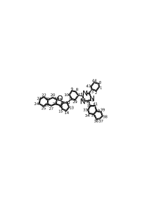 c1ccc(-c2nc(-c3cccc(-c4cccc5c4oc4cc6ccccc6cc45)c3)nc(-c3ccc4ccccc4c3)n2)cc1